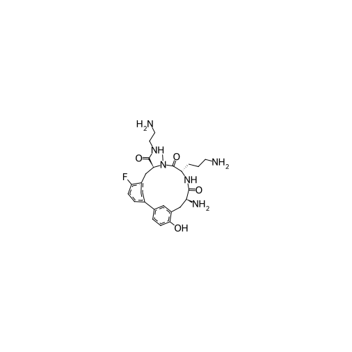 CN1C(=O)[C@H](CCCN)NC(=O)[C@@H](N)Cc2cc(ccc2O)-c2ccc(F)c(c2)C[C@H]1C(=O)NCCN